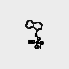 O=P(O)(O)OSc1cccc2ccccc12